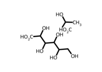 CC(O)C(=O)O.O=C(O)C(O)C(O)C(O)C(O)CO